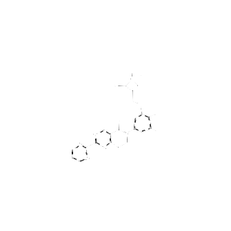 CC1c2cnc(-c3ncccn3)nc2CCN1c1cc(F)c(F)c(OCC2CN(C(=O)O)C2C(C)(C)C)c1